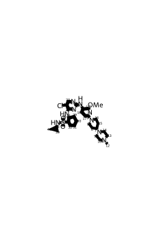 COc1nc(N2CCC(N3CCN(C)CC3)CC2)ccc1Nc1ncc(Cl)c(Nc2ccccc2S(=O)(=O)NC2CC2)n1